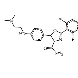 CN(C)CCNc1ccc(C2OC(c3c(F)cccc3F)=NC2C(N)=O)cc1